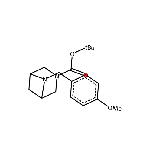 COc1ccc(CN2C3CC2CN(C(=O)OC(C)(C)C)C3)cc1